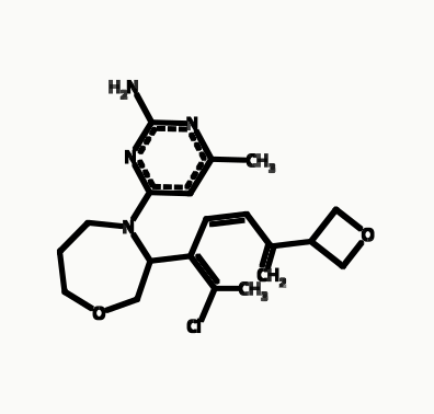 C=C(/C=C\C(=C(/C)Cl)C1COCCCN1c1cc(C)nc(N)n1)C1COC1